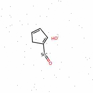 [OH-].[O]=[Sn+][C]1=CC=CC1